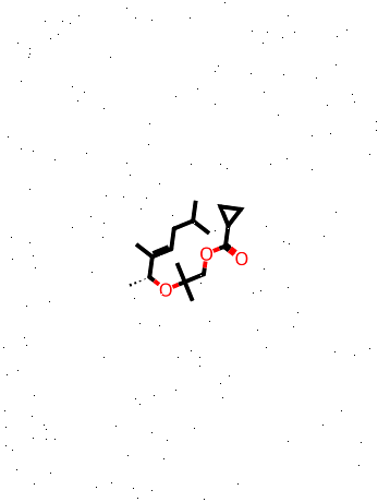 CC(=CCC(C)C)[C@@H](C)OC(C)(C)COC(=O)C1CC1